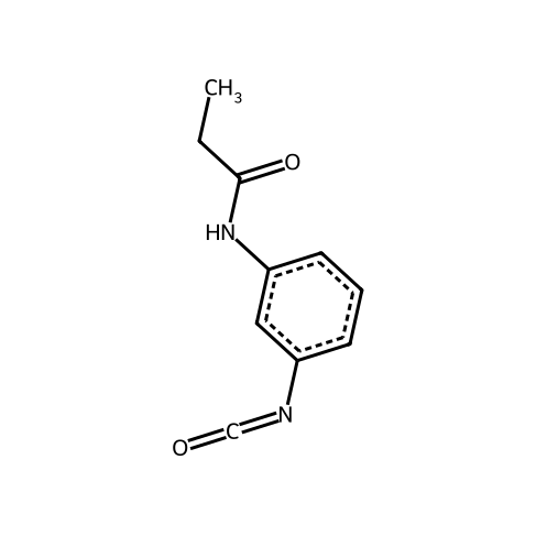 CCC(=O)Nc1cccc(N=C=O)c1